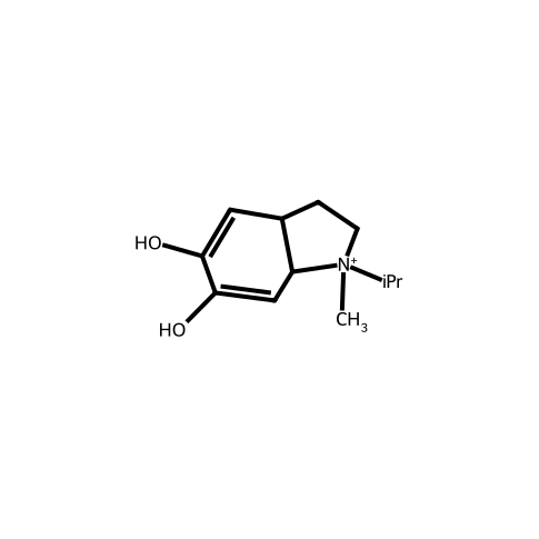 CC(C)[N+]1(C)CCC2C=C(O)C(O)=CC21